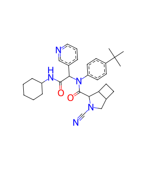 CC(C)(C)c1ccc(N(C(=O)C2C3CCC3CN2C#N)C(C(=O)NC2CCCCC2)c2cccnc2)cc1